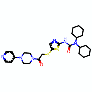 O=C(CSc1cnc(NC(=O)N(C2CCCCC2)C2CCCCC2)s1)N1CCN(c2ccncc2)CC1